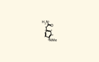 CNc1ccc(CC(N)=O)cc1